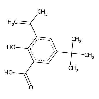 C=C(C)c1cc(C(C)(C)C)cc(C(=O)O)c1O